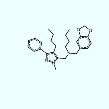 CCCCc1c(-c2ccccc2)nn(C)c1CN(CCCC)Cc1ccc2c(c1)OCO2